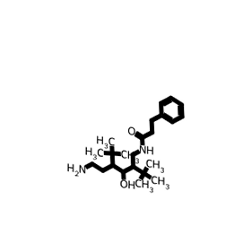 CC(C)(C)C(CCN)C(O)C(CNC(=O)CCc1ccccc1)C(C)(C)C